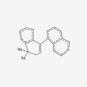 [2H]C1([2H])CC=C(c2cccc3ccccc23)c2ccccc21